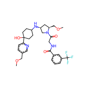 COCc1ccc(C2(O)CCC(N[C@H]3C[C@@H](COC)N(C(=O)CNC(=O)c4cccc(C(F)(F)F)c4)C3)CC2)nc1